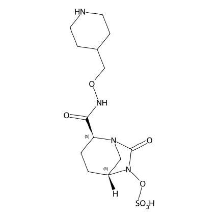 O=C(NOCC1CCNCC1)[C@@H]1CC[C@@H]2CN1C(=O)N2OS(=O)(=O)O